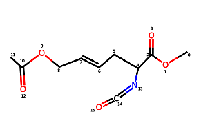 COC(=O)C(CC=CCOC(C)=O)N=C=O